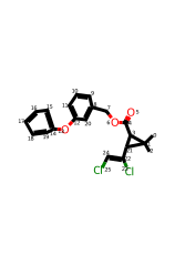 CC1(C)C(C(=O)OCc2cccc(Oc3ccccc3)c2)C1C(Cl)=CCl